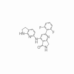 O=C1NCc2nc(-c3c(F)cccc3F)cc(Nc3ccc4c(n3)NCC4)c21